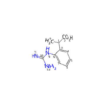 CC(C(=O)O)c1ccccc1NC(=N)N